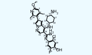 COc1cc(C)c(-c2cc3c(N[C@H]4CC[C@H](N)CC4)c(/C(N)=N/c4cc(F)c(O)cc4Cl)cnn3c2)c(C)n1